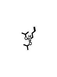 C=CCC[SiH](OC(C)C)OC(C)C